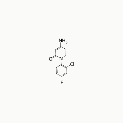 Nc1ccn(-c2ccc(F)cc2Cl)c(=O)c1